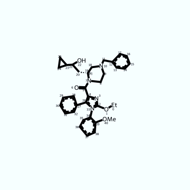 CCOc1nc(C(=O)N2CCN(Cc3ccccc3)C[C@H]2CC(O)C2CC2)c(-c2ccccc2)n1-c1ccccc1OC